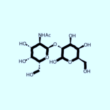 CC(=O)N[C@H]1[C@@H](O[C@H]2C(O)O[C@H](CO)[C@H](O)[C@@H]2O)O[C@H](CO)[C@H](O)[C@@H]1O